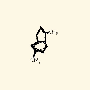 CC1=C[CH]c2cc(C)ccc21